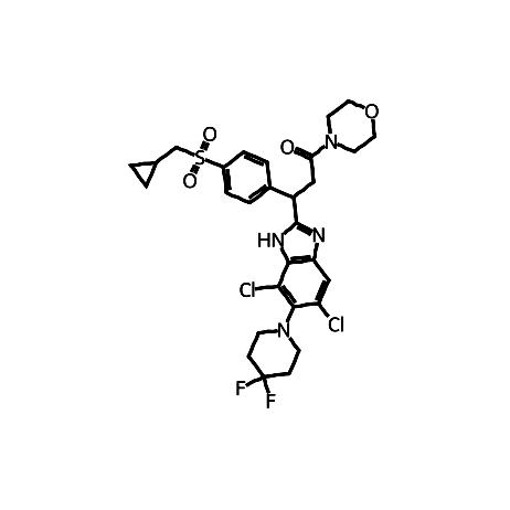 O=C(CC(c1ccc(S(=O)(=O)CC2CC2)cc1)c1nc2cc(Cl)c(N3CCC(F)(F)CC3)c(Cl)c2[nH]1)N1CCOCC1